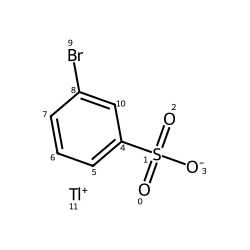 O=S(=O)([O-])c1cccc(Br)c1.[Tl+]